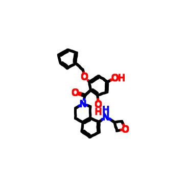 O=C(c1c(O)cc(O)cc1OCc1ccccc1)N1CCc2cccc(NC3COC3)c2C1